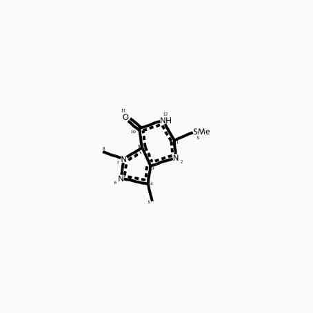 CSc1nc2c(C)nn(C)c2c(=O)[nH]1